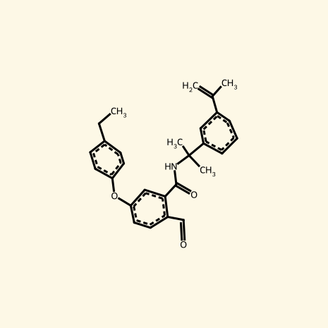 C=C(C)c1cccc(C(C)(C)NC(=O)c2cc(Oc3ccc(CC)cc3)ccc2C=O)c1